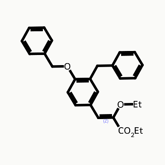 CCOC(=O)/C(=C/c1ccc(OCc2ccccc2)c(Cc2ccccc2)c1)OCC